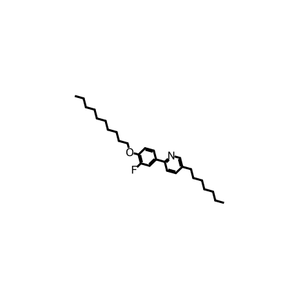 CCCCCCCCCCOc1ccc(-c2ccc(CCCCCCC)cn2)cc1F